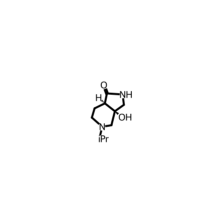 CC(C)N1CC[C@H]2C(=O)NC[C@]2(O)C1